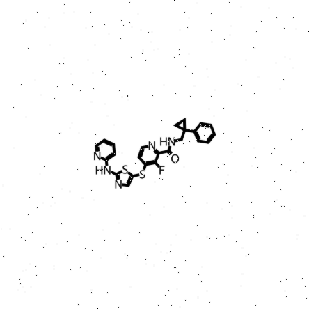 O=C(NCC1(c2ccccc2)CC1)c1nccc(Sc2cnc(Nc3ccccn3)s2)c1F